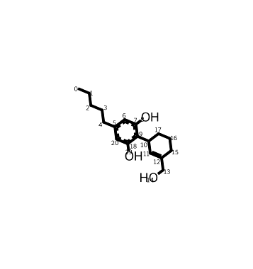 CCCCCc1cc(O)c(C2C=C(CO)CCC2)c(O)c1